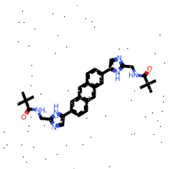 CC(C)(C)C(=O)NCc1ncc(-c2ccc3cc4cc(-c5cnc(CNC(=O)C(C)(C)C)[nH]5)ccc4cc3c2)[nH]1